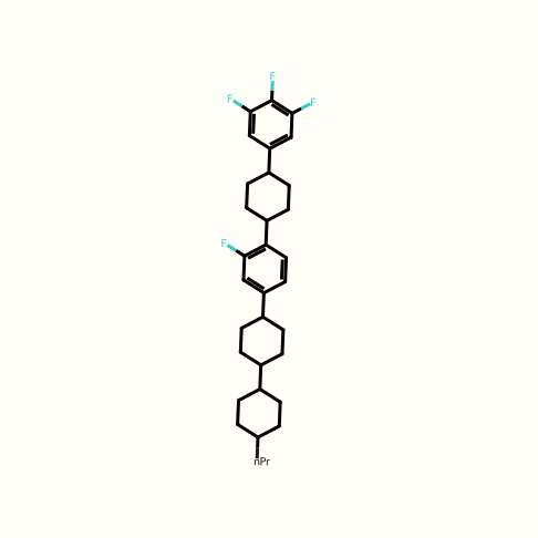 CCCC1CCC(C2CCC(c3ccc(C4CCC(c5cc(F)c(F)c(F)c5)CC4)c(F)c3)CC2)CC1